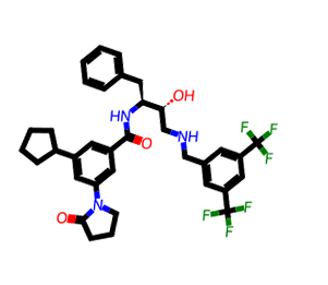 O=C(N[C@@H](Cc1ccccc1)[C@H](O)CNCc1cc(C(F)(F)F)cc(C(F)(F)F)c1)c1cc(C2CCCC2)cc(N2CCCC2=O)c1